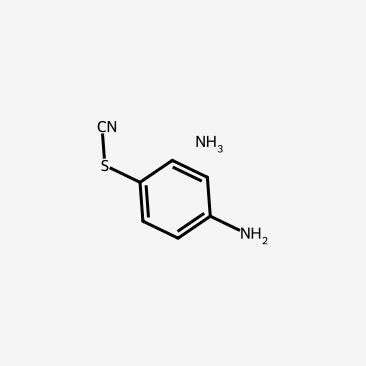 N.N#CSc1ccc(N)cc1